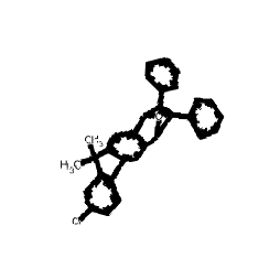 CC1(C)c2cc(Cl)ccc2-c2cc3c(cc21)C1OC3C(c2ccccc2)=C1c1ccccc1